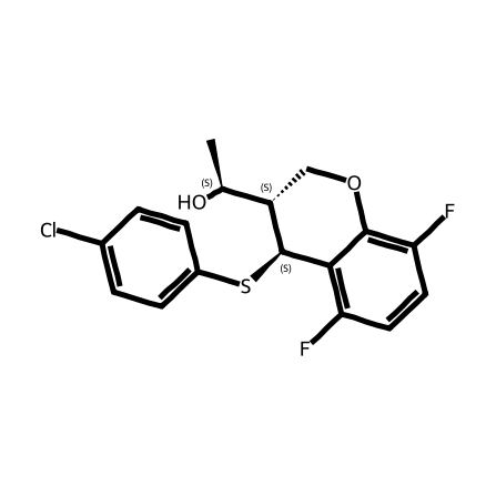 C[C@H](O)[C@@H]1COc2c(F)ccc(F)c2[C@H]1Sc1ccc(Cl)cc1